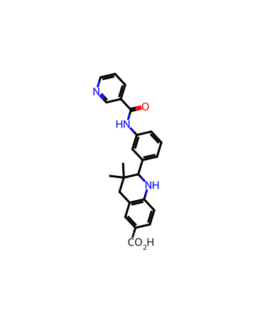 CC1(C)Cc2cc(C(=O)O)ccc2NC1c1cccc(NC(=O)c2cccnc2)c1